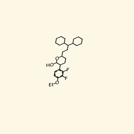 CCOc1ccc(C2CCC(CCC(C3CCCCC3)C3CCCCC3)OC2O)c(F)c1F